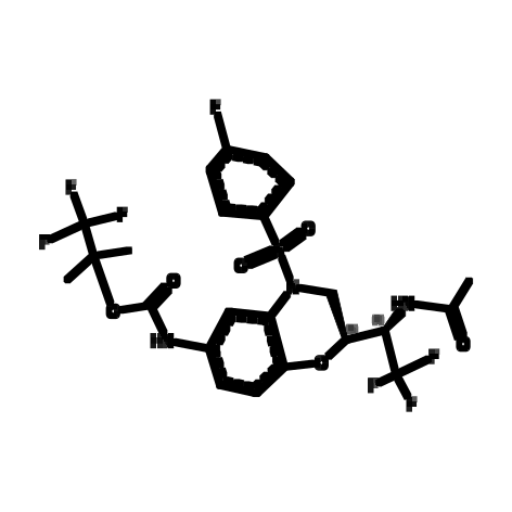 CC(=O)N[C@H]([C@@H]1CN(S(=O)(=O)c2ccc(F)cc2)c2cc(NC(=O)OC(C)(C)C(F)(F)F)ccc2O1)C(F)(F)F